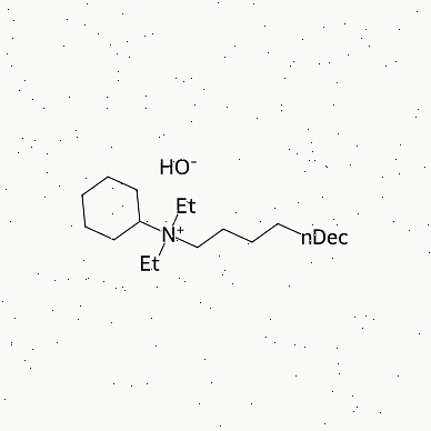 CCCCCCCCCCCCCC[N+](CC)(CC)C1CCCCC1.[OH-]